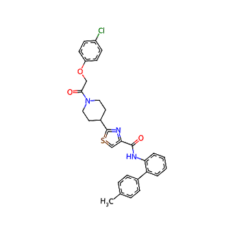 Cc1ccc(-c2ccccc2NC(=O)c2csc(C3CCN(C(=O)COc4ccc(Cl)cc4)CC3)n2)cc1